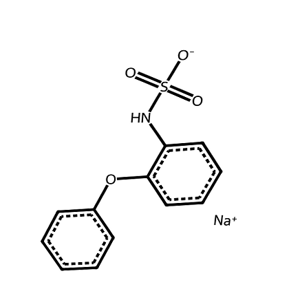 O=S(=O)([O-])Nc1ccccc1Oc1ccccc1.[Na+]